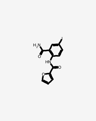 NC(=O)c1cc(I)ccc1NC(=O)c1ccco1